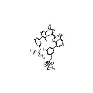 CN(C)Cc1cncc(-c2ncc3[nH]nc(-c4nc5c(-c6cc(F)cc(CNS(C)(=O)=O)c6)cncc5[nH]4)c3c2F)c1